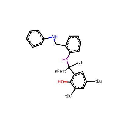 CCCCCC(CC)(Pc1ccccc1CNc1ccccc1)c1cc(C(C)(C)C)cc(C(C)(C)C)c1O